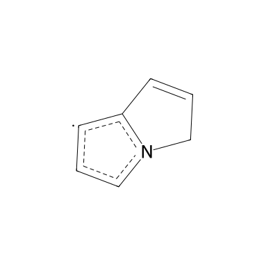 [c]1ccn2c1C=CC2